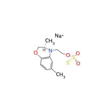 Cc1ccc2c(c1)N(CCOS(=O)(=O)[S-])[C@@H](C)CO2.[Na+]